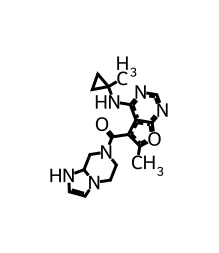 Cc1oc2ncnc(NC3(C)CC3)c2c1C(=O)N1CCN2C=CNC2C1